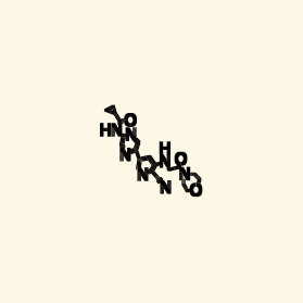 N#Cc1ncc(-c2cnc(NC(=O)C3CC3)cn2)cc1NCC(=O)N1CCOCC1